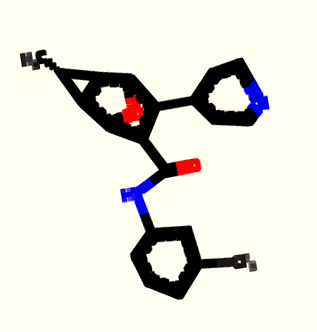 C[C@H]1c2c1c1oc2c(C(=O)Nc2cccc(C(F)(F)F)c2)c1-c1ccncc1